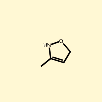 CC1=CCON1